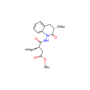 CCCCCCC[C@H](CC(=O)OC(C)(C)C)C(=O)NN1C(=O)[C@@H](OC)Cc2ccccc21